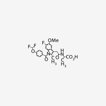 COc1cc2c(CC(=O)NC(C)C(=O)O)c(C)n(C(=O)c3ccc(OC(F)F)cc3)c2cc1F